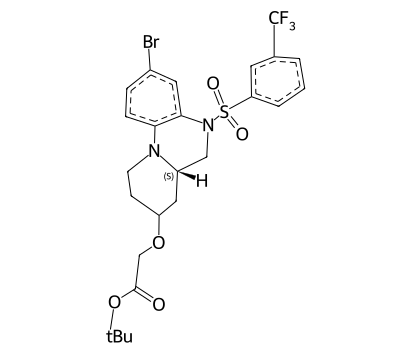 CC(C)(C)OC(=O)COC1CCN2c3ccc(Br)cc3N(S(=O)(=O)c3cccc(C(F)(F)F)c3)C[C@@H]2C1